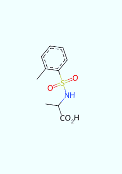 Cc1ccccc1S(=O)(=O)NC(C)C(=O)O